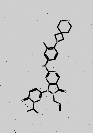 C=CCn1c(=O)c2cnc(Nc3ccc(N4CC5(CCNCC5)C4)c(C)c3)nc2n1-c1ccc(=O)n(C(C)C)n1